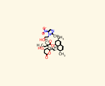 CCC(C)(C)C(=O)O[C@H]1C[C@@H](C)C=C2C=C[C@H](C)[C@H](CC[C@@H]3C[C@@H](O)CC(=O)O3)[C@H]21.Cc1ncc([N+](=O)[O-])n1CCO